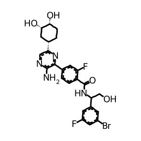 Nc1ncc([C@H]2CC[C@@H](O)[C@@H](O)C2)nc1-c1ccc(C(=O)NC(CO)c2cc(F)cc(Br)c2)c(F)c1